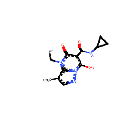 CC(C)Cn1c(=O)c(C(=O)NC2CC2)c(O)n2ncc(C(=O)O)c12